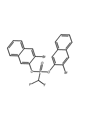 O=P(Oc1cc2ccccc2cc1Br)(Oc1cc2ccccc2cc1Br)C(F)F